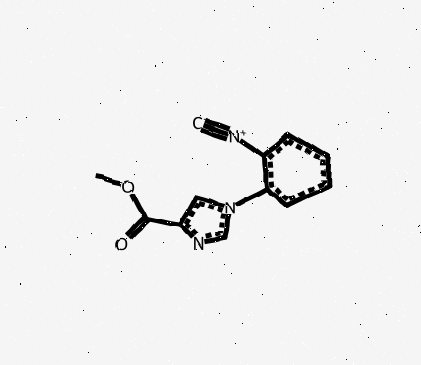 [C-]#[N+]c1ccccc1-n1cnc(C(=O)OC)c1